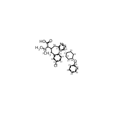 CN(C)C(C(=O)O)C1Cc2cc(Cl)ccc2-n2c(nnc2[C@H]2CC[C@H](Oc3ccccn3)CC2)C1